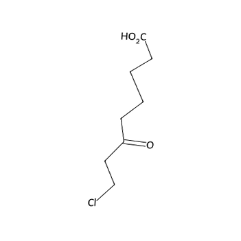 O=C(O)CCCCC(=O)CCCl